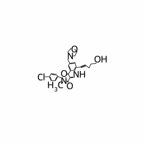 CN(Cc1ccc(Cl)cc1)C(=O)c1c[nH]c2c(C#CCCCO)cc(CN3CCOCC3)cc2c1=O